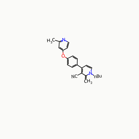 C=C1C(C#N)=C(c2ccc(Oc3ccnc(C)c3)cc2)C=CN1CCCC